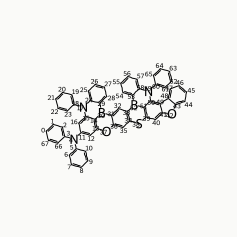 c1ccc(N(c2ccccc2)c2cc3c4c(c2)N(c2ccccc2)c2ccccc2B4c2cc4c(cc2O3)Sc2cc3oc5ccccc5c3c3c2B4c2ccccc2N3c2ccccc2)cc1